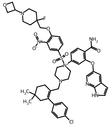 CC1(C)CCC(CN2CC[N+](c3ccc(C(N)=O)c(Oc4cnc5[nH]ccc5c4)c3)(S(=O)(=O)c3ccc(OCC4(F)CCN(C5COC5)CC4)c([N+](=O)[O-])c3)CC2)=C(c2ccc(Cl)cc2)C1